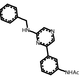 CC(=O)Nc1cccc(-c2cncc(NCc3ccccc3)n2)c1